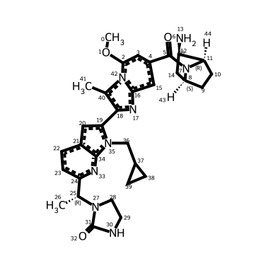 COc1cc(C(=O)N2[C@H]3CC[C@@H]2[C@H](N)C3)cc2nc(-c3cc4ccc([C@@H](C)N5CCNC5=O)nc4n3CC3CC3)c(C)n12